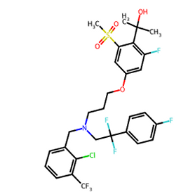 CC(C)(O)c1c(F)cc(OCCCN(Cc2cccc(C(F)(F)F)c2Cl)CC(F)(F)c2ccc(F)cc2)cc1S(C)(=O)=O